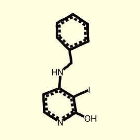 Oc1nccc(NCc2ccccc2)c1I